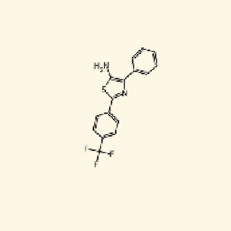 Nc1sc(-c2ccc(C(F)(F)F)cc2)nc1-c1ccccc1